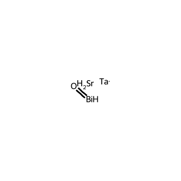 [O]=[BiH].[SrH2].[Ta]